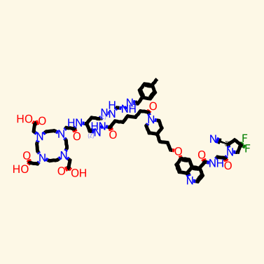 Cc1ccc(/C=N/NCN/N=C/CC(/C=N\NC(=O)CCCCCC(=O)N2CCC(CCCOc3ccc4nccc(C(=O)NCC(=O)N5CC(F)(F)C[C@@H]5C#N)c4c3)CC2)NC(=O)CN2CCN(CC(=O)O)CCN(CC(=O)O)CCN(CC(=O)O)CC2)cc1